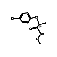 CONC(=O)[C@H](C)Oc1ccc(Cl)cc1